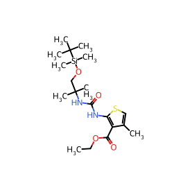 CCOC(=O)c1c(C)csc1NC(=O)NC(C)(C)CO[Si](C)(C)C(C)(C)C